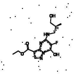 CCOC(=O)c1cnn2c(O)c(F)c(NC[C@H](C)CO)nc12